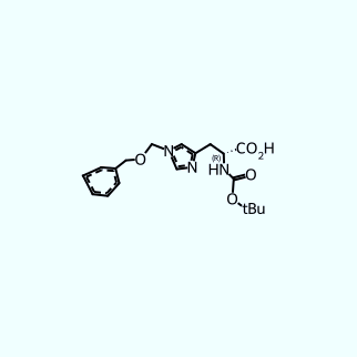 CC(C)(C)OC(=O)N[C@H](Cc1cn(COCc2ccccc2)cn1)C(=O)O